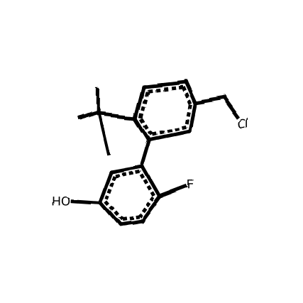 CC(C)(C)c1ccc(CCl)cc1-c1cc(O)ccc1F